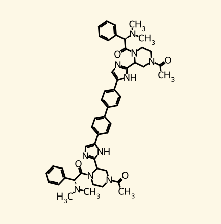 CC(=O)N1CCN(C(=O)[C@@H](c2ccccc2)N(C)C)C(c2ncc(-c3ccc(-c4ccc(-c5cnc(C6CN(C(C)=O)CCN6C(=O)[C@@H](c6ccccc6)N(C)C)[nH]5)cc4)cc3)[nH]2)C1